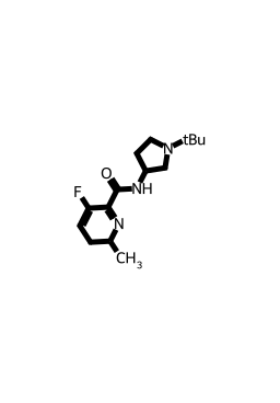 CC1CC=C(F)C(C(=O)NC2CCN(C(C)(C)C)C2)=N1